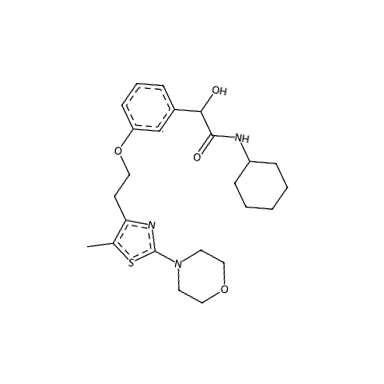 Cc1sc(N2CCOCC2)nc1CCOc1[c]c(C(O)C(=O)NC2CCCCC2)ccc1